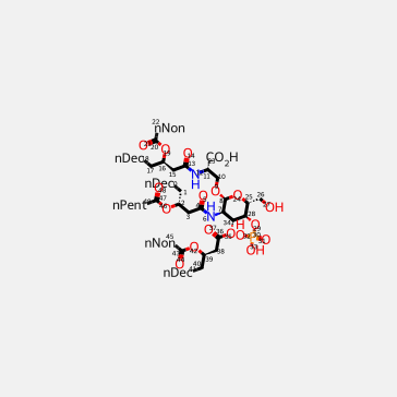 CCCCCCCCCCC[C@H](CC(=O)N[C@H]1[C@@H](OC[C@H](NC(=O)C[C@@H](CCCCCCCCCCC)OC(=O)CCCCCCCCC)C(=O)O)O[C@H](CO)[C@@H](OP(=O)(O)O)[C@@H]1OC(=O)C[C@@H](CCCCCCCCCCC)OC(=O)CCCCCCCCC)OC(=O)CCCCC